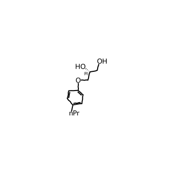 CCCc1ccc(OC[C@H](O)CO)cc1